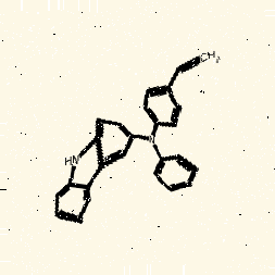 C=Cc1ccc(N(c2ccccc2)c2ccc3[nH]c4ccccc4c3c2)cc1